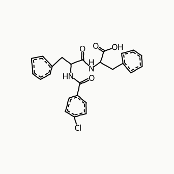 O=C(NC(Cc1ccccc1)C(=O)NC(Cc1ccccc1)C(=O)O)c1ccc(Cl)cc1